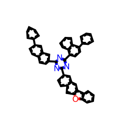 c1ccc(-c2ccc3ccc(-c4nc(-c5ccc6cc7oc8ccccc8c7cc6c5)nc(-c5ccc(-c6ccccc6)c6ccccc56)n4)cc3c2)cc1